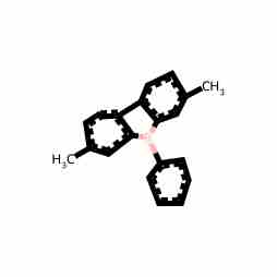 Cc1ccc2c(c1)B(c1ccccc1)c1cc(C)ccc1-2